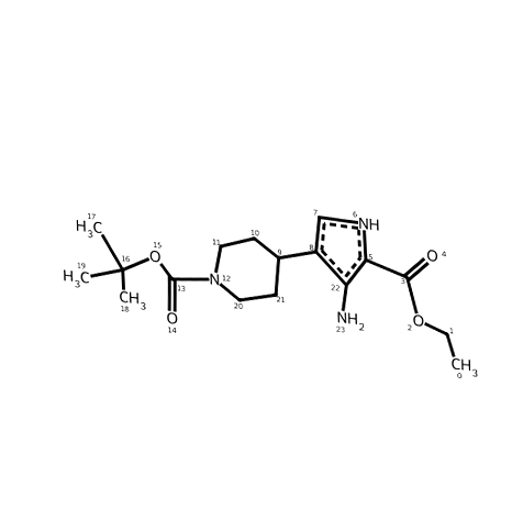 CCOC(=O)c1[nH]cc(C2CCN(C(=O)OC(C)(C)C)CC2)c1N